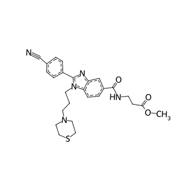 COC(=O)CCNC(=O)c1ccc2c(c1)nc(-c1ccc(C#N)cc1)n2CCCN1CCSCC1